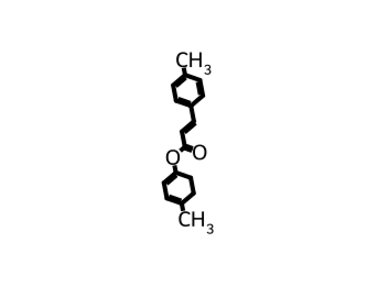 CC1=CC=C(OC(=O)/C=C/c2ccc(C)cc2)CC1